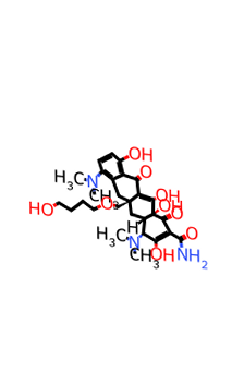 CN(C)c1ccc(O)c2c1C[C@@]1(COCCCCO)C[C@H]3[C@H](N(C)C)C(O)=C(C(N)=O)C(=O)[C@@]3(O)C(O)=C1C2=O